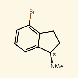 CN[C@@H]1CCc2c(Br)cccc21